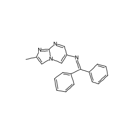 Cc1cn2cc(N=C(c3ccccc3)c3ccccc3)cnc2n1